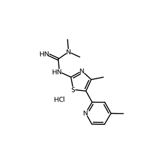 Cc1ccnc(-c2sc(NC(=N)N(C)C)nc2C)c1.Cl